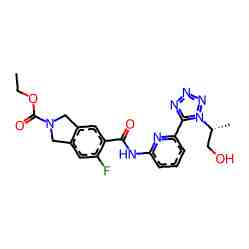 CCOC(=O)N1Cc2cc(F)c(C(=O)Nc3cccc(-c4nnnn4[C@H](C)CO)n3)cc2C1